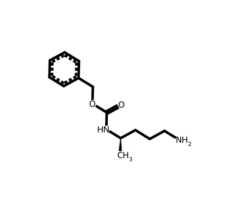 C[C@H](CCCN)NC(=O)OCc1ccccc1